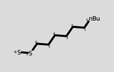 CCCCCCCCCCS[S]